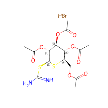 Br.CC(=O)OC[C@H]1S[C@@H](SC(=N)N)[C@H](OC(C)=O)[C@@H](OC(C)=O)[C@@H]1OC(C)=O